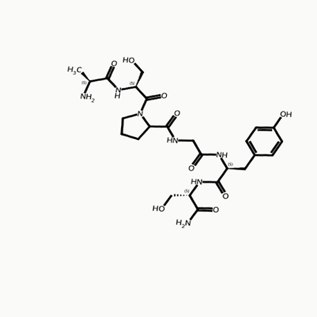 C[C@H](N)C(=O)N[C@@H](CO)C(=O)N1CCCC1C(=O)NCC(=O)N[C@@H](Cc1ccc(O)cc1)C(=O)N[C@@H](CO)C(N)=O